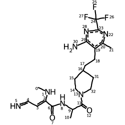 CN/C(=C\C=N)C(=O)NC(C)C(=O)N1CCC(CCc2c(C)nc(C(F)(F)F)nc2N)CC1